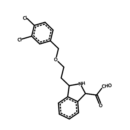 O=CC(=O)C1NC(CCOCc2ccc(Cl)c(Cl)c2)c2ccccc21